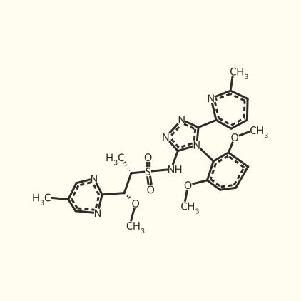 COc1cccc(OC)c1-n1c(NS(=O)(=O)[C@@H](C)[C@H](OC)c2ncc(C)cn2)nnc1-c1cccc(C)n1